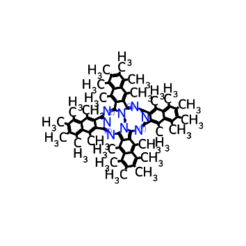 Cc1c(C)c(C)c2c(C)c3c(c(C)c2c1C)C1=NC/3=N\c2c3c(C)c4c(C)c(C)c(C)c(C)c4c(C)c3c3n2Cn2/c(c4c(C)c5c(C)c(C)c(C)c(C)c5c(C)c4/c2=N/C2=NC(=N\3)/c3c2c(C)c2c(C)c(C)c(C)c(C)c2c3C)=N\1